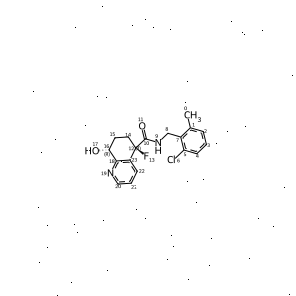 Cc1cccc(Cl)c1CNC(=O)[C@@]1(F)CC[C@@H](O)c2ncccc21